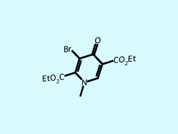 CCOC(=O)c1cn(C)c(C(=O)OCC)c(Br)c1=O